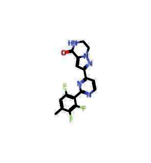 Cc1cc(F)c(-c2nccc(-c3cc4n(n3)CCNC4=O)n2)c(F)c1F